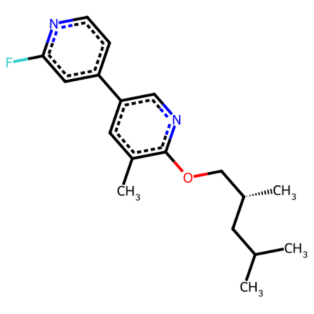 Cc1cc(-c2ccnc(F)c2)cnc1OC[C@H](C)CC(C)C